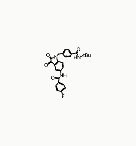 CC(C)(C)NC(=O)c1ccc(CN2C(=O)C(=O)c3cc(NC(=O)c4ccc(F)cc4)ccc32)cc1